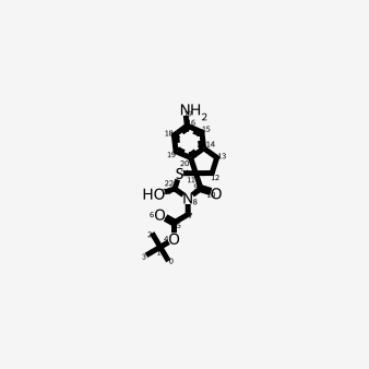 CC(C)(C)OC(=O)CN1C(=O)C2(CCc3cc(N)ccc32)SC1O